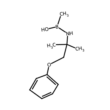 CB(O)NC(C)(C)COc1ccccc1